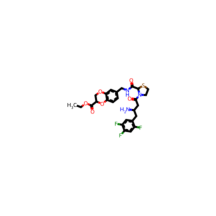 CCOC(=O)C1COc2cc(CNC(=O)C3SCCN3C(=O)CC(N)Cc3cc(F)c(F)cc3F)ccc2O1